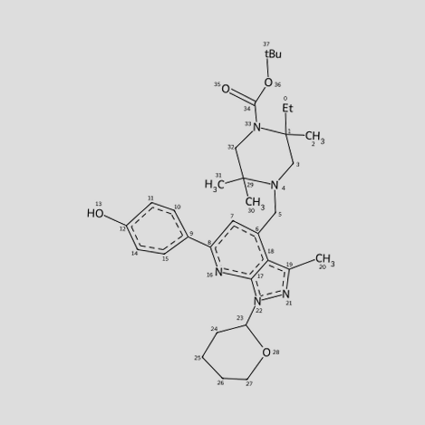 CCC1(C)CN(Cc2cc(-c3ccc(O)cc3)nc3c2c(C)nn3C2CCCCO2)C(C)(C)CN1C(=O)OC(C)(C)C